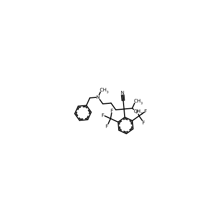 CC(C)C(C#N)(CCCN(C)Cc1ccccc1)c1c(C(F)(F)F)cccc1C(F)(F)F